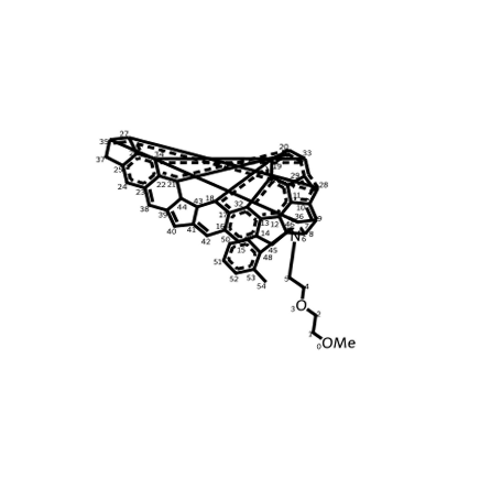 COCCOCCN1CC2C3=c4c5c6c7c(cc8c9c%10c%11c%12c%13c%14c(cc%15c%16c(c4c(c5c%11c79)c%12c%14%16)=C(C3)C%15)=CC3=CC(=C8)C%10C3%13)CC62C1c1ccccc1C